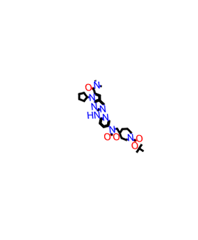 CN(C)C(=O)c1cc2cnc(Nc3ccc(N4CC5(CCCN(C(=O)OC(C)(C)C)CC5)OC4=O)cn3)nc2n1C1CCCC1